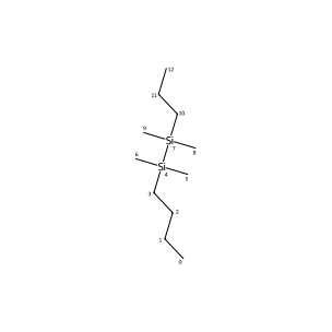 CCCC[Si](C)(C)[Si](C)(C)CCC